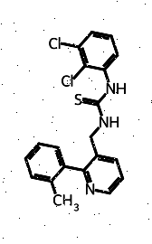 Cc1ccccc1-c1ncccc1CNC(=S)Nc1cccc(Cl)c1Cl